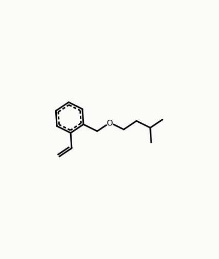 C=Cc1ccccc1COCCC(C)C